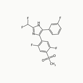 CS(=O)(=O)c1cc(F)c(-c2nc(C(F)F)[nH]c2-c2cccc(F)c2)cc1F